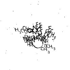 COC[C@@H]1C[C@H](C)CC/C=C\[C@@H]2C[C@@]2(C(=O)NS(=O)(=O)C2(C)CC2)NC(=O)[C@@H]2C[C@@H](Oc3nc4cc(OC(C)C)ccc4nc3C(F)(F)F)CN2C(=O)[C@H]1NC(=O)OC(C)(C)C(F)(F)F